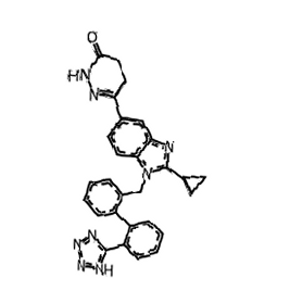 O=C1CCC(c2ccc3c(c2)nc(C2CC2)n3Cc2ccccc2-c2ccccc2-c2nnn[nH]2)=NN1